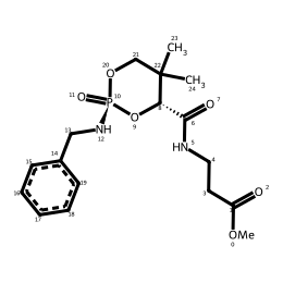 COC(=O)CCNC(=O)[C@@H]1O[P@@](=O)(NCc2ccccc2)OCC1(C)C